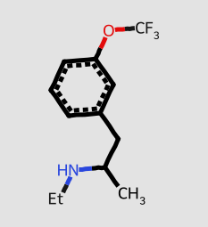 CCNC(C)Cc1cccc(OC(F)(F)F)c1